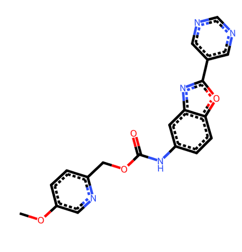 COc1ccc(COC(=O)Nc2ccc3oc(-c4cncnc4)nc3c2)nc1